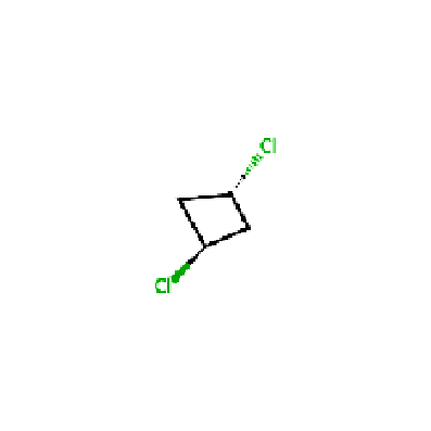 Cl[C@H]1C[C@H](Cl)C1